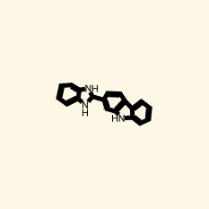 [c]1c(C2Nc3ccccc3N2)ccc2c1[nH]c1ccccc12